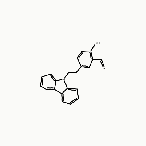 O=Cc1cc(CCn2c3ccccc3c3ccccc32)ccc1O